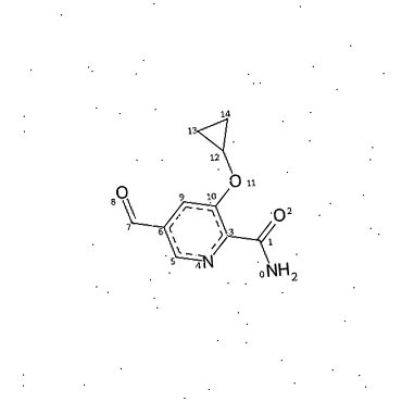 NC(=O)c1ncc(C=O)cc1OC1CC1